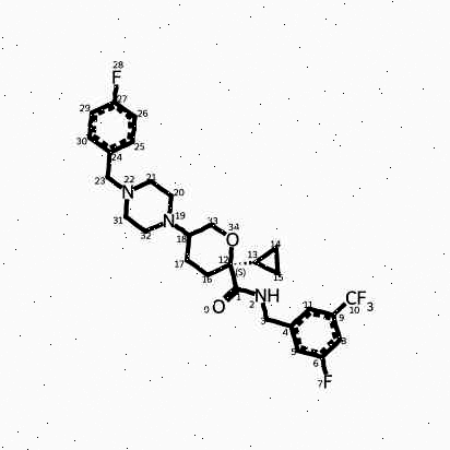 O=C(NCc1cc(F)cc(C(F)(F)F)c1)[C@@]1(C2CC2)CCC(N2CCN(Cc3ccc(F)cc3)CC2)CO1